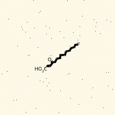 O=C(O)/C=C/C(=O)CCCCCCCCCCF